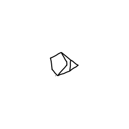 C1CC2CC[C]1C1CC21